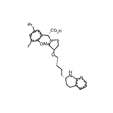 COc1c(F)cc(C(C)C)cc1[C@H](C(=O)O)N1CC[C@@H](OCCCC[C@H]2CCc3cccnc3N2)C1